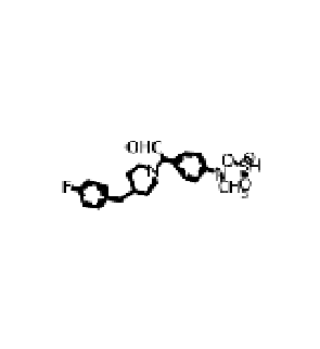 CN(O[SH](=O)=O)c1ccc(C([C]=O)N2CCC(Cc3ccc(F)cc3)CC2)cc1